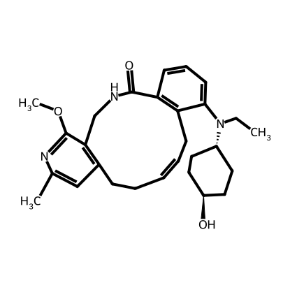 CCN(c1cccc2c1CC=CCCc1cc(C)nc(OC)c1CNC2=O)[C@H]1CC[C@H](O)CC1